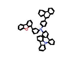 c1cc(-c2cccc3c2oc2ccccc23)cc(N(c2ccc(-c3ccccc3-n3c4ccccc4c4ccccc43)cc2)c2ccc(-c3cc4ccccc4c4ccccc34)cc2)c1